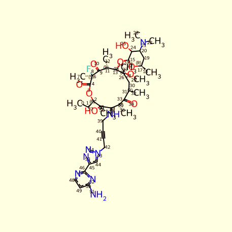 CC[C@H]1OC(=O)[C@@](C)(F)C(=O)[C@H](C)[C@@H](O[C@@H]2O[C@H](C)CC(N(C)C)C2O)[C@](C)(OC)C[C@@H](C)C(=O)[C@H](C)[C@@H](NCC#CCn2cc(-c3nccc(N)n3)nn2)[C@]1(C)O